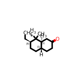 CC[C@@H]1CC[C@H]2CCC(=O)C[C@@H]2C1(C)C